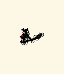 CC(C)CN(CC(C)C)C(=O)C1SC(C)(C)SC1C(=O)NCCCN(CCCNC(=O)C1SC(C)(C)SC1C(=O)N(CC(C)C)CC(C)C)C(=O)CCC(=O)Oc1ccc(N=O)cc1